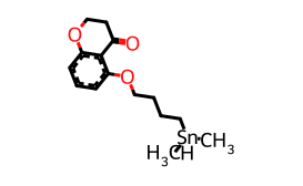 [CH3][SnH]([CH3])[CH2]CCCOc1cccc2c1C(=O)CCO2